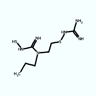 CCCN(CCSNC(=N)N)C(=N)NS